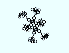 CC(C)c1cccc(C(C)C)c1N1C(=O)c2cc(Oc3ccc(CCC(=O)ON4C(=O)CCC4=O)cc3)c3c4c(Oc5ccc(CCC(=O)ON6C(=O)CCC6=O)cc5)cc5c6c(cc(Oc7ccc(CCC(=O)ON8C(=O)CCC8=O)cc7)c(c7c(Oc8ccc(CCC(=O)ON9C(=O)CCC9=O)cc8)cc(c2c37)C1=O)c64)C(=O)N(c1c(C(C)C)cccc1C(C)C)C5=O